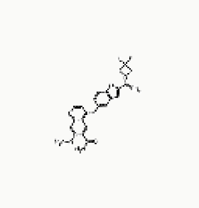 C=C(c1cc2cc(Cc3ccnc4cc(OC)c(C(N)=O)cc34)ccc2o1)N1CC(F)(F)C1